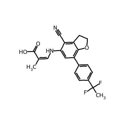 CC(=CNc1cc(-c2ccc(C(C)(F)F)cc2)c2c(c1C#N)CCO2)C(=O)O